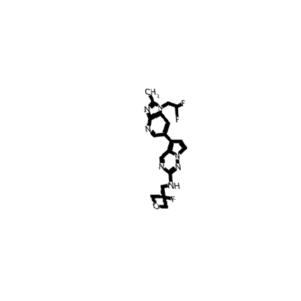 Cc1nc2ncc(-c3ccn4nc(NCC5(F)COC5)ncc34)cc2n1CC(F)F